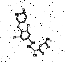 N#CC(NNc1cc(Cl)c(Oc2ccc(=O)[nH]c2)c(Cl)c1)C(=O)OC(N)=O